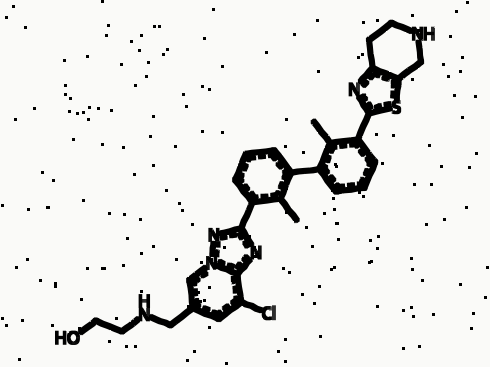 Cc1c(-c2nc3c(Cl)cc(CNCCO)cn3n2)cccc1-c1cccc(-c2nc3c(s2)CNCC3)c1C